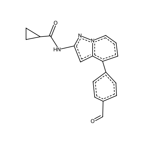 O=Cc1ccc(-c2cccn3nc(NC(=O)C4CC4)cc23)cc1